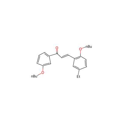 CCCCOc1cccc(C(=O)C=Cc2cc(CC)ccc2OCCCC)c1